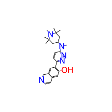 CN(c1ccc(-c2cc3cnccc3cc2O)nn1)C1CC(C)(C)N(C)C(C)(C)C1